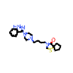 O=C1N(CCCCN2CCN(c3n[nH]c4ccccc34)CC2)CSC12CCCC2